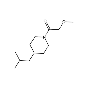 COCC(=O)N1CCC(CC(C)C)CC1